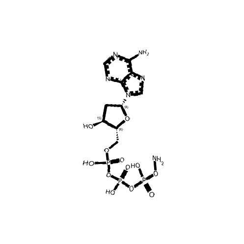 NOP(=O)(O)OP(=O)(O)OP(=O)(O)OC[C@H]1O[C@@H](n2cnc3c(N)ncnc32)C[C@@H]1O